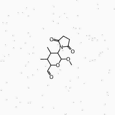 COC1OC(C=O)C(C)C(C)C1N1C(=O)CCC1=O